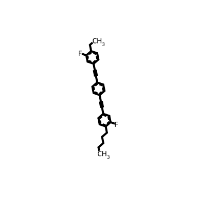 CCCCCc1ccc(C#Cc2ccc(C#Cc3ccc(CC)c(F)c3)cc2)cc1F